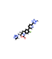 Cn1nnc(-c2ccc(-c3cc4c(cc3F)N3C(=O)O[C@@H](Cn5ccnn5)[C@@H]3C4)cn2)n1